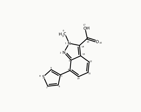 Cn1nc2c(-c3ccsc3)cccc2c1C(=O)O